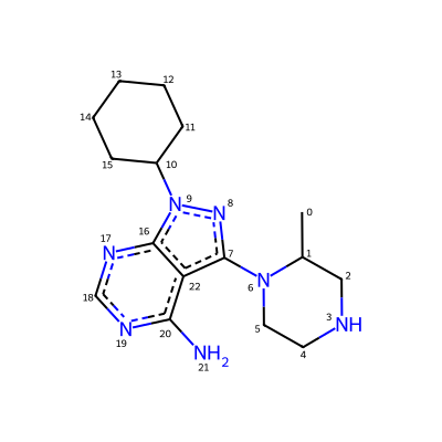 CC1CNCCN1c1nn(C2CCCCC2)c2ncnc(N)c12